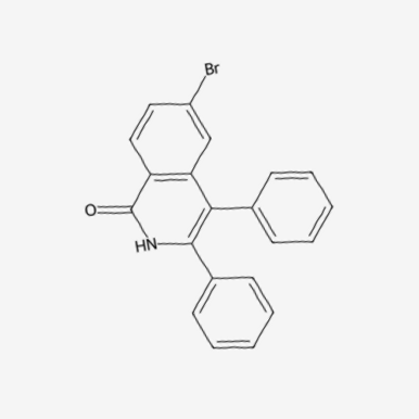 O=c1[nH]c(-c2ccccc2)c(-c2ccccc2)c2cc(Br)ccc12